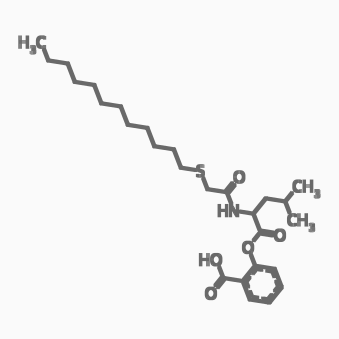 CCCCCCCCCCCCSCC(=O)NC(CC(C)C)C(=O)Oc1ccccc1C(=O)O